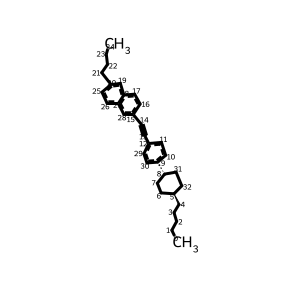 CCCCC[C@H]1CC[C@H](c2ccc(C#Cc3ccc4cc(CCCC)ccc4c3)cc2)CC1